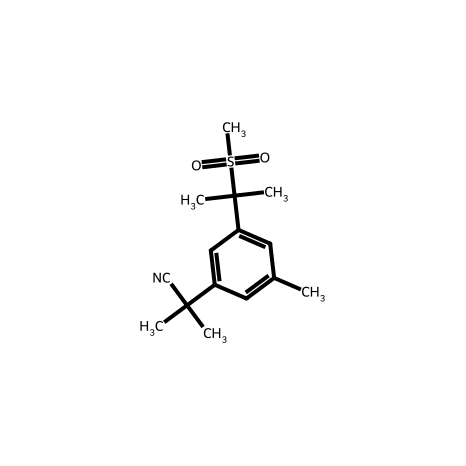 Cc1cc(C(C)(C)C#N)cc(C(C)(C)S(C)(=O)=O)c1